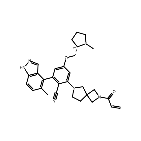 C=CC(=O)N1CC2(CCN(c3cc(OC[C@@H]4CCCN4C)cc(-c4c(C)ccc5[nH]ncc45)c3C#N)C2)C1